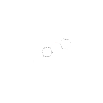 O=S(=O)(O)c1ccc(OC2=CCCC=C2)cc1